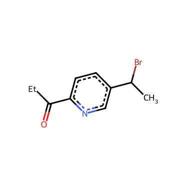 CCC(=O)c1ccc(C(C)Br)cn1